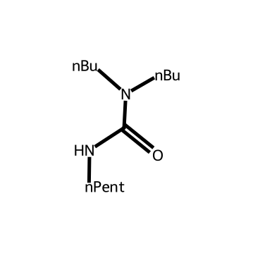 CCCCCNC(=O)N(CCCC)CCCC